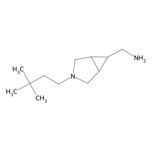 CC(C)(C)CCN1CC2C(CN)C2C1